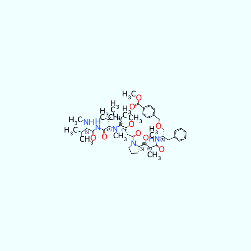 CC[C@H](C)[C@@H]([C@@H](CC(=O)N1CCC[C@H]1[C@H](OC)[C@@H](C)C(=O)N[C@H](COCc1ccc(C(=O)OC)cc1)Cc1ccccc1)OC)N(C)[C@H](C(=O)NC(=O)[C@@H](NC)C(C)C)C(C)C